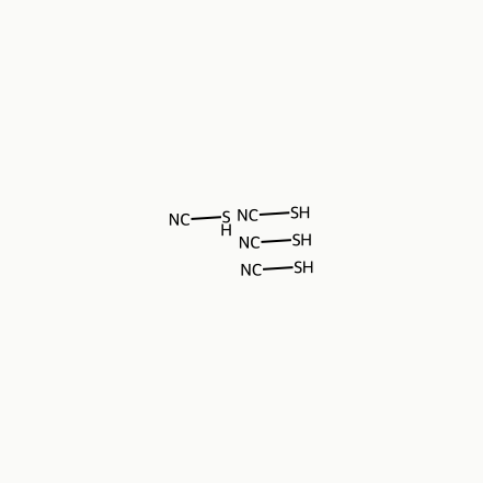 N#CS.N#CS.N#CS.N#CS